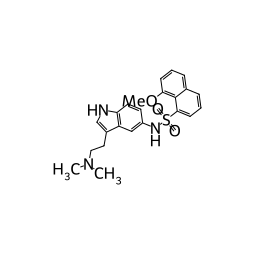 COc1cccc2cccc(S(=O)(=O)Nc3ccc4[nH]cc(CCN(C)C)c4c3)c12